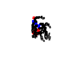 C=CCCC1(C)CCN(c2c([C@H](OC(C)(C)C)C(=O)OC)c(C)cc3nc(C(C)=O)cn23)CC1